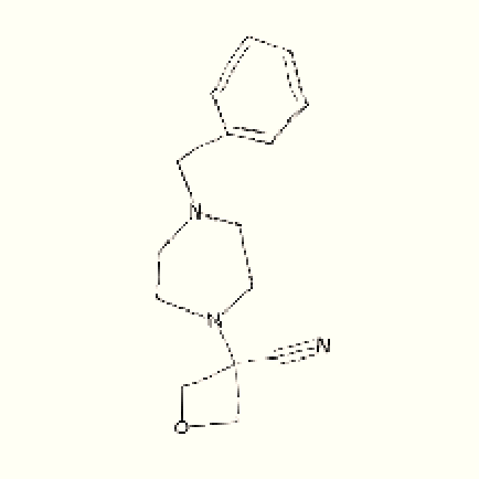 N#CC1(N2CCN(Cc3ccccc3)CC2)COC1